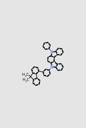 CC1(C)c2ccccc2-c2c(-c3cccc(-n4c5ccccc5c5c6c7ccccc7n(-c7ccccc7)c6ccc54)c3)cccc21